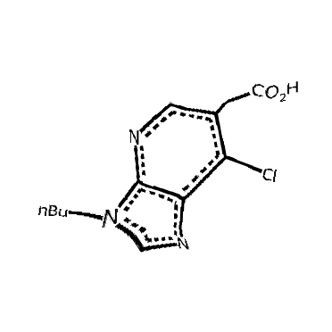 CCCCn1cnc2c(Cl)c(C(=O)O)cnc21